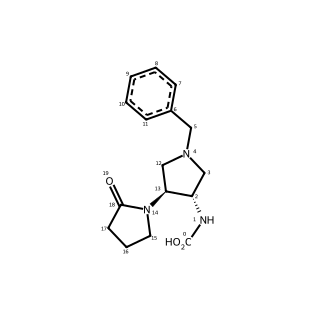 O=C(O)N[C@H]1CN(Cc2ccccc2)C[C@@H]1N1CCCC1=O